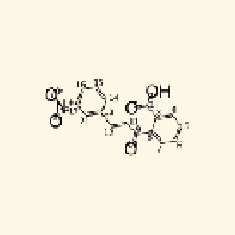 O=C(O)c1ccccc1C(=O)C=Cc1cccc([N+](=O)[O-])c1